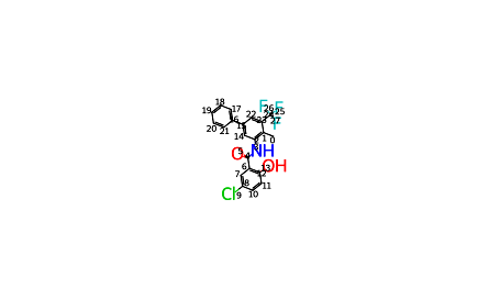 Cc1c(NC(=O)c2cc(Cl)ccc2O)cc(-c2ccccc2)cc1C(F)(F)F